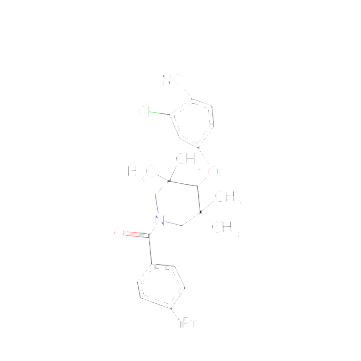 CC(C)c1ccc(C(=O)N2CC(C)(C)C(Oc3ccc(C#N)c(Cl)c3)C(C)(C)C2)cc1